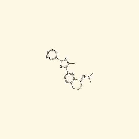 Cc1nc(-c2cccnc2)sc1-c1ccc2c(n1)/C(=N/N(C)C)CCC2